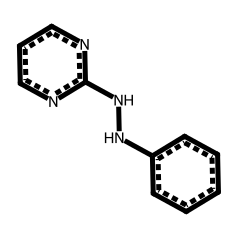 c1ccc(NNc2ncccn2)cc1